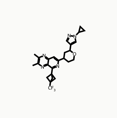 Cc1nc2cc(C3CCOC(c4cnn(C5CC5)c4)C3)nc(C34CC(C(F)(F)F)(C3)C4)c2nc1C